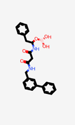 O=C(CC(=O)NC(Cc1ccccc1)OB(O)O)NCc1cccc(-c2ccccc2)c1